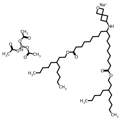 CC(=O)O[BH-](OC(C)=O)OC(C)=O.CCCCCC(CCCCC)CCOC(=O)CCCCCCCC(CCCCCCCC(=O)OCCC(CCCCC)CCCCC)NC1CC2(COC2)C1.[Na+]